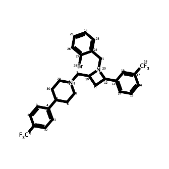 FC(F)(F)c1ccc(C2CCN(CC3CC(c4cccc(C(F)(F)F)c4)N3Cc3ccccc3Br)CC2)cc1